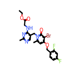 CCOC(=O)CNc1nc(C)ncc1Cn1c(C)cc(OCc2ccc(F)cc2F)c(Br)c1=O